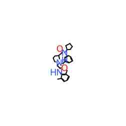 Cc1cccc(C)c1NC(=O)C[N+]1(Cc2ccccc2)CCCC(C(=O)NC2CCCC2)C1